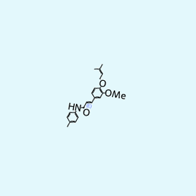 COc1cc(/C=C/C(=O)Nc2ccc(C)cc2)ccc1OCC=C(C)C